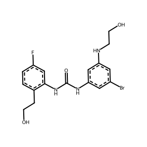 O=C(Nc1cc(Br)cc(NCCO)c1)Nc1cc(F)ccc1CCO